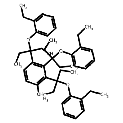 CCc1ccccc1OC(CC)(CC)c1ccc(O)c(C(CC)(CC)Oc2ccccc2CC)c1C(CC)(CC)Oc1ccccc1CC